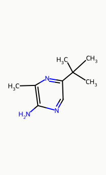 Cc1nc(C(C)(C)C)cnc1N